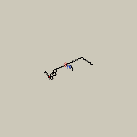 CCCCCCCC/C=C\CCCCCCCCCCC(CN1CCC(CC)C1)OCCCCCCC1CCC2(C)C(=CCC3C2CC[C@@]2(C)C3CC[C@]2(C)[C@H](C)CCCC(C)C)C1